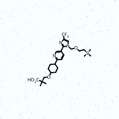 CC(C)(COC1CCC(c2ccc(-c3nc(C(F)(F)F)cn3COCC[Si](C)(C)C)cn2)CC1)C(=O)O